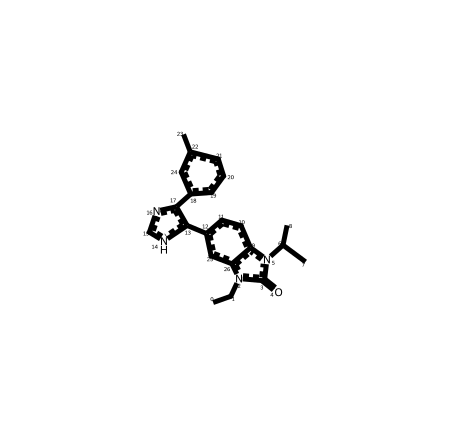 CCn1c(=O)n(C(C)C)c2ccc(-c3[nH]cnc3-c3cccc(C)c3)cc21